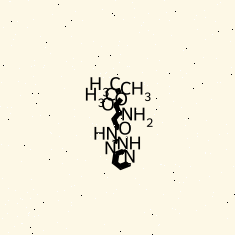 CC(C)(C)OC(=O)C(N)CC(=O)Nc1nc2cccnc2[nH]1